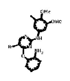 COc1cc(Nc2ncc(Br)c(Oc3ccccc3N)n2)cc(C)c1OC